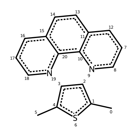 Cc1ccc(C)s1.c1cnc2c(c1)ccc1cccnc12